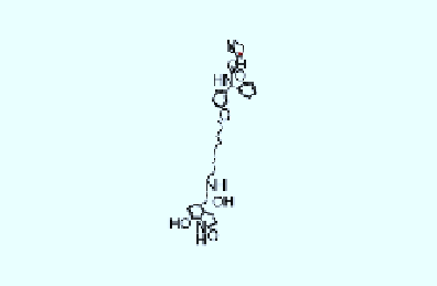 O=C(NC(c1ccccc1)c1cccc(OCCCCCCCCCNC[C@H](O)c2ccc(O)c3[nH]c(=O)ccc23)c1)O[C@H]1CN2CCC1CC2